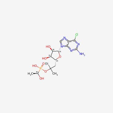 CCC(C)(C[C@H]1O[C@@H](n2cnc3c(Cl)nc(N)nc32)[C@H](O)[C@@H]1O)OP(=O)(O)[C@H](C)O